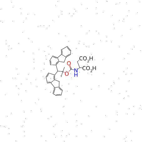 CC(C)(OC(=O)NC(CC(=O)O)C(=O)O)C(c1cccc2c1Cc1ccccc1-2)c1cccc2c1Cc1ccccc1-2